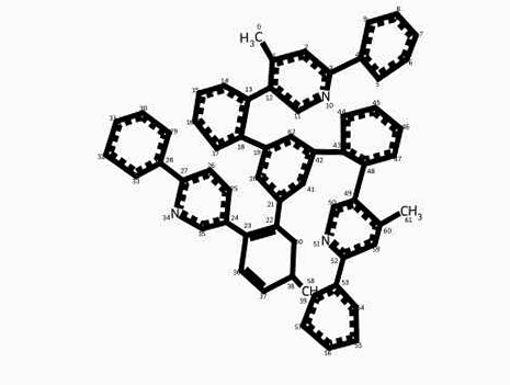 Cc1cc(-c2ccccc2)ncc1-c1ccccc1-c1cc(C2=C(c3ccc(-c4ccccc4)nc3)C=CC(C)C2)cc(-c2ccccc2-c2cnc(-c3ccccc3)cc2C)c1